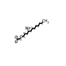 CCCCCCCCCCCCOCC(=O)[O-].[Na+]